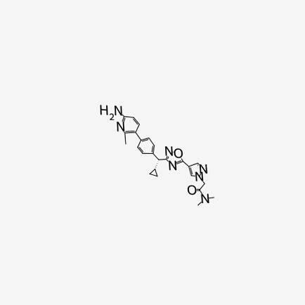 Cc1nc(N)ccc1-c1ccc([C@H](c2noc(-c3cnn(CC(=O)N(C)C)c3)n2)C2CC2)cc1